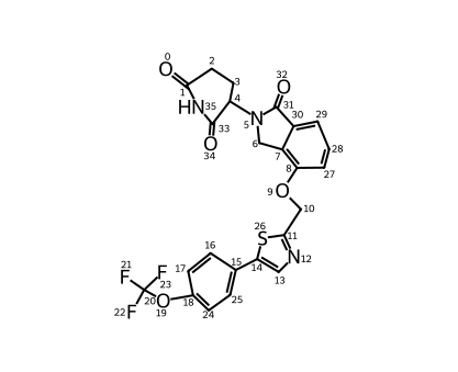 O=C1CCC(N2Cc3c(OCc4ncc(-c5ccc(OC(F)(F)F)cc5)s4)cccc3C2=O)C(=O)N1